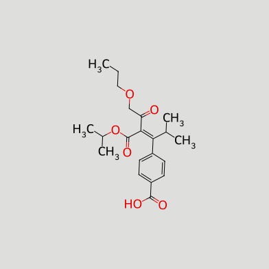 CCCOCC(=O)C(C(=O)OC(C)C)=C(c1ccc(C(=O)O)cc1)C(C)C